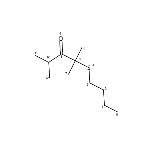 CCCCSC(C)(C)C(=O)C(C)C